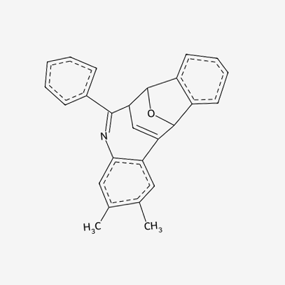 Cc1cc2c(cc1C)C1=CC(C(c3ccccc3)=N2)C2OC1c1ccccc12